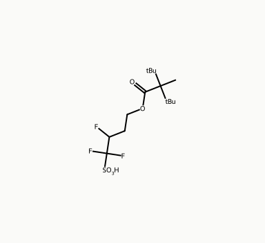 CC(C)(C)C(C)(C(=O)OCCC(F)C(F)(F)S(=O)(=O)O)C(C)(C)C